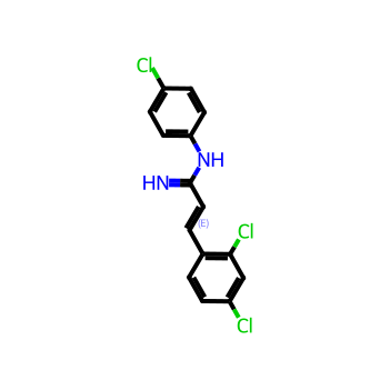 N=C(/C=C/c1ccc(Cl)cc1Cl)Nc1ccc(Cl)cc1